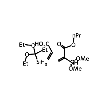 C=C(C(=O)OCCC)[SiH](OC)OC.C=CC(=O)O.[CH2]CC([SiH3])(OCC)OCC